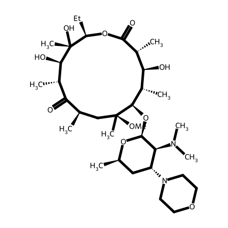 CC[C@H]1OC(=O)[C@H](C)[C@@H](O)[C@H](C)[C@@H](O[C@@H]2O[C@H](C)C[C@@H](N3CCOCC3)[C@@H]2N(C)C)[C@@](C)(OC)C[C@@H](C)C(=O)[C@H](C)[C@@H](O)[C@]1(C)O